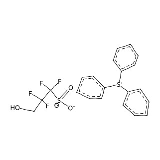 O=S(=O)([O-])C(F)(F)C(F)(F)CO.c1ccc([S+](c2ccccc2)c2ccccc2)cc1